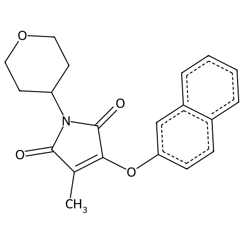 CC1=C(Oc2ccc3ccccc3c2)C(=O)N(C2CCOCC2)C1=O